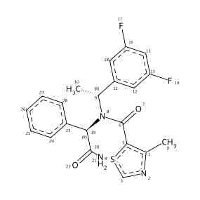 Cc1ncsc1C(=O)N([C@H](C)c1cc(F)cc(F)c1)[C@@H](C(N)=O)c1ccccc1